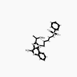 COC(C)c1nc2c(N)nc3ccccc3c2n1CCCCCS(=O)(=O)c1ccccc1